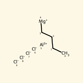 CCC[CH2][Mg+].[Al+3].[Cl-].[Cl-].[Cl-].[Cl-]